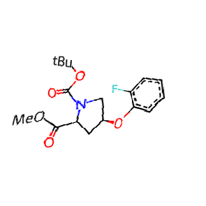 COC(=O)C1C[C@H](Oc2ccccc2F)CN1C(=O)OC(C)(C)C